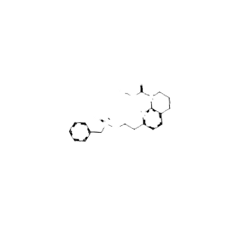 CC(C)(C)OC(=O)N1CCCc2ccc(CCOS(=O)(=O)Cc3ccccc3)nc21